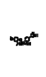 COc1cccc(C(C)NC(=O)c2c[nH]c3cc(-c4cn[nH]c4)ccc23)c1